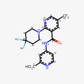 O=C(O)c1cc(NC(=O)c2cc(C(F)(F)F)cnc2N2CCC(F)(F)CC2)ccn1